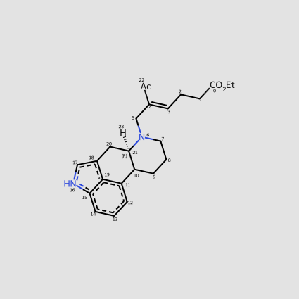 CCOC(=O)CCC=C(CN1CCCC2c3cccc4[nH]cc(c34)C[C@H]21)C(C)=O